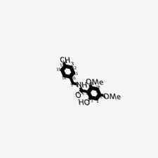 COc1cc(O)c(C(=O)NCc2ccc(C)cc2)c(OC)c1